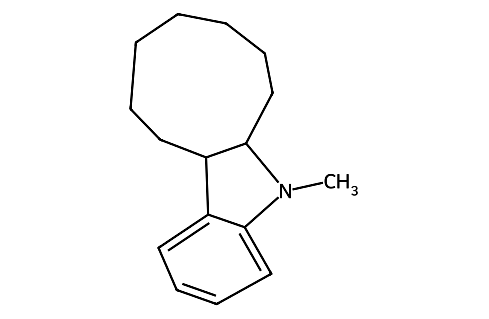 CN1c2ccccc2C2CCCCCCCC21